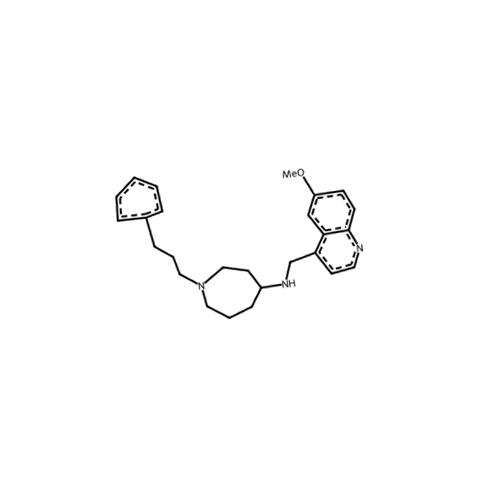 COc1ccc2nccc(CNC3CCCN(CCCc4ccccc4)CC3)c2c1